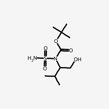 CC(C)C(CO)N(C(=O)OC(C)(C)C)S(N)(=O)=O